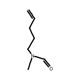 [CH]=CCCCN(C)C=O